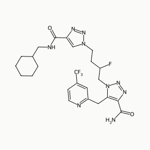 NC(=O)c1nnn(CC(F)CCn2cc(C(=O)NCC3CCCCC3)nn2)c1Cc1cc(C(F)(F)F)ccn1